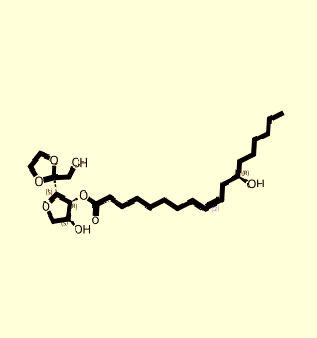 CCCCCC[C@@H](O)C/C=C\CCCCCCCC(=O)O[C@@H]1[C@@H](O)CO[C@@H]1C1(CO)OCCO1